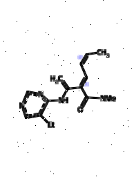 C=C(Nc1ncncc1CC)/C(=C\C=C/C)C(=O)NC